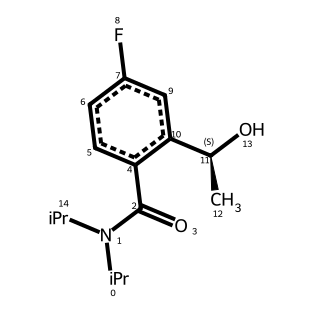 CC(C)N(C(=O)c1ccc(F)cc1[C@H](C)O)C(C)C